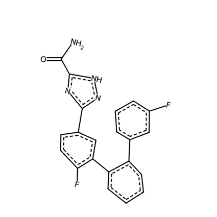 NC(=O)c1nc(-c2ccc(F)c(-c3ccccc3-c3cccc(F)c3)c2)n[nH]1